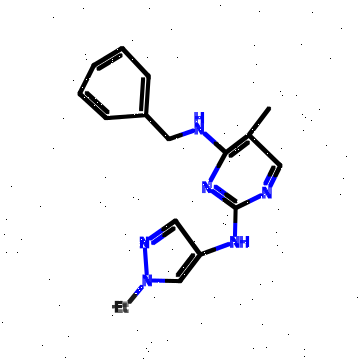 [CH2][CH]n1cc(Nc2ncc(C)c(NCc3ccccc3)n2)cn1